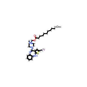 CCCCCCCCCCCCCCCCCCCC(=O)OC[N+]1(C)CCN(C2=Nc3ccccc3Nc3sc(C)cc32)CC1.[I-]